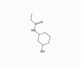 CCC(=O)NC1CCCC(O)C1